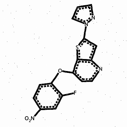 O=[N+]([O-])c1ccc(Oc2ccnc3cc(-n4cccn4)sc23)c(F)c1